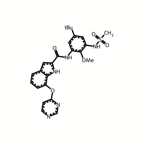 COc1c(NC(=O)c2cc3cccc(Oc4ccncn4)c3[nH]2)cc(C(C)(C)C)cc1NS(C)(=O)=O